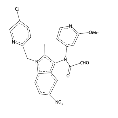 COc1cc(N(C(=O)C=O)c2c(C)n(Cc3ccc(Cl)cn3)c3ccc([N+](=O)[O-])cc23)ccn1